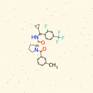 Cc1cccc(C(=O)N2CCC[C@@H]2C(=O)N[C@@H](c2ccc(C(F)(F)F)cc2F)C2CC2)c1